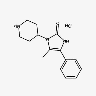 Cc1c(-c2ccccc2)[nH]c(=O)n1C1CCNCC1.Cl